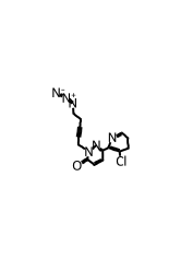 [N-]=[N+]=NCCC#CCn1nc(C2=C(Cl)CCC=N2)ccc1=O